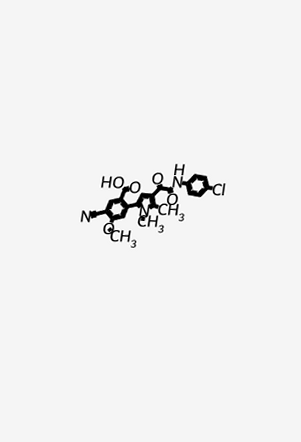 COc1cc(-c2cc(C(=O)C(=O)Nc3ccc(Cl)cc3)c(C)n2C)c(C(=O)O)cc1C#N